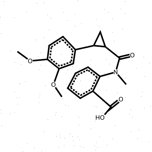 COc1ccc(C2CC2C(=O)N(C)c2ccccc2C(=O)O)cc1OC